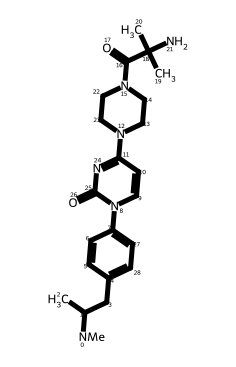 CNC(C)Cc1ccc(-n2ccc(N3CCN(C(=O)C(C)(C)N)CC3)nc2=O)cc1